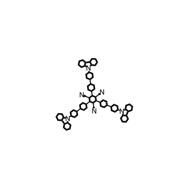 N#Cc1c(-c2ccc(-c3ccc(-n4c5ccccc5c5ccccc54)cc3)cc2)c(C#N)c(-c2ccc(-c3ccc(-n4c5ccccc5c5ccccc54)cc3)cc2)c(C#N)c1-c1ccc(-c2ccc(-n3c4ccccc4c4ccccc43)cc2)cc1